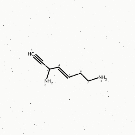 C#CC(N)C=CCCN